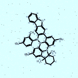 Cc1cc(C(C)(C)C)ccc1N1B2c3cc(C(C)(C)C)cc4c3N(c3cc(C(C)(C)C)cc(c32)-c2cc3oc5ccccc5c3cc21)C1(C)CCCCC41C